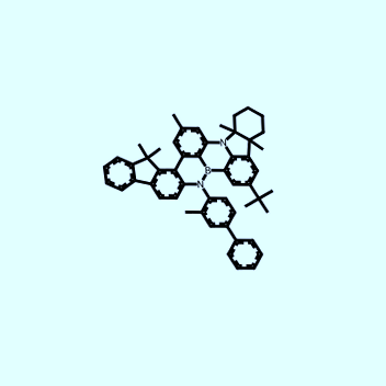 Cc1cc2c3c(c1)N1c4c(cc(C(C)(C)C)cc4C4(C)CCCCC14C)B3N(c1ccc(-c3ccccc3)cc1C)c1ccc3c(c1-2)C(C)(C)c1ccccc1-3